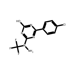 NN(c1nc(O)nc(-c2ccc(Cl)cc2)n1)C(F)(F)F